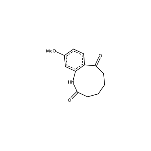 COc1ccc2c(c1)NC(=O)CCCCC2=O